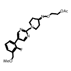 COCc1cccc(-c2cnc(N3CCC(=NOCCOC(C)=O)CC3)nc2)c1F